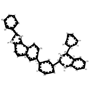 c1ccc(-c2nc3c(ccc4cc(-c5cccc(-c6nc(-c7ccccc7)c7ccccc7n6)c5)ccc43)o2)cc1